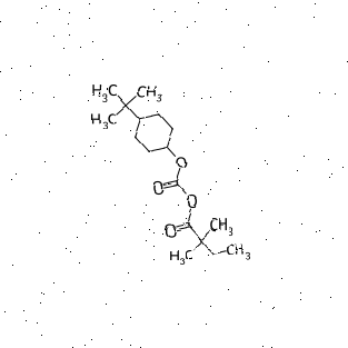 CCC(C)(C)C(=O)OC(=O)OC1CCC(C(C)(C)C)CC1